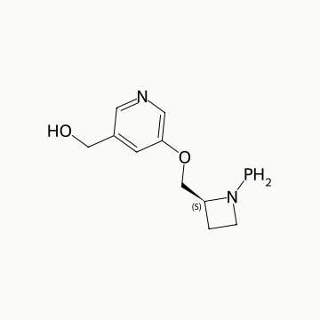 OCc1cncc(OC[C@@H]2CCN2P)c1